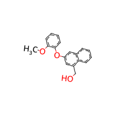 COc1ccccc1Oc1cc(CO)c2ccccc2c1